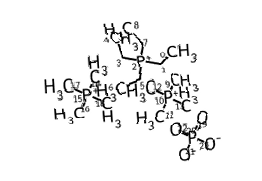 CC[P+](CC)(CC)CC.C[P+](C)(C)C.C[P+](C)(C)C.O=P([O-])([O-])[O-]